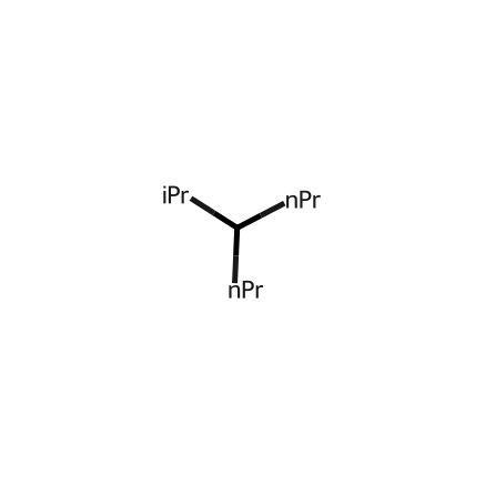 [CH2]C(C)C(CCC)CCC